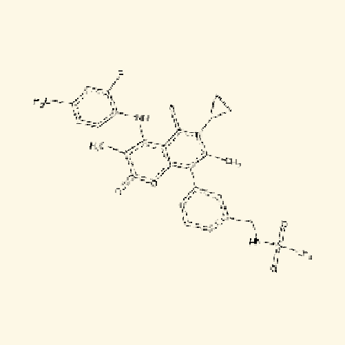 Cc1ccc(Nc2c(C)c(=O)oc3c(-c4cccc(CNS(C)(=O)=O)c4)c(C)n(C4CC4)c(=O)c23)c(F)c1